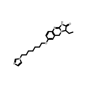 CCC1C(=O)NC2=Nc3ccc(OCCCCCCCn4ccnc4)cc3CN21